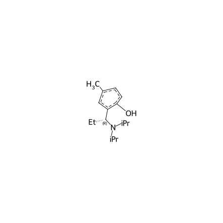 CC[C@H](c1cc(C)ccc1O)N(C(C)C)C(C)C